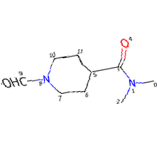 CN(C)C(=O)C1CCN([C]=O)CC1